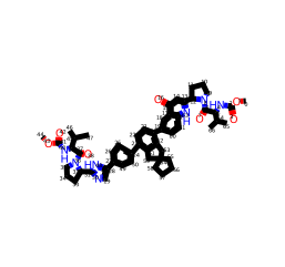 COC(=O)NC(C(=O)N1CCCC1c1cc(=O)c2cc(-c3ccc(-c4ccc(-c5cnc(C6CCCN6C(=O)C(NC(=O)OC)C(C)C)[nH]5)cc4)c4c3CC3(CCCC3)C4)ccc2[nH]1)C(C)C